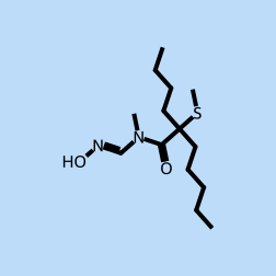 CCCCCC(CCCC)(SC)C(=O)N(C)C=NO